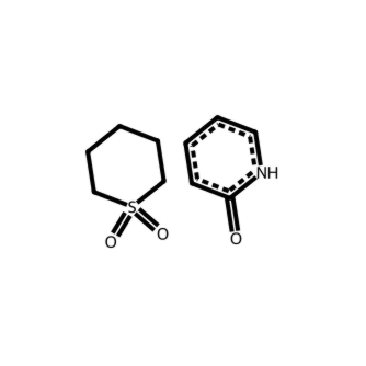 O=S1(=O)CCCCC1.O=c1cccc[nH]1